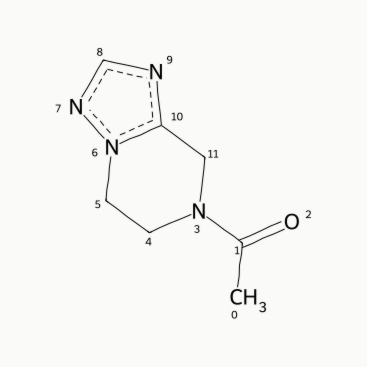 CC(=O)N1CCn2ncnc2C1